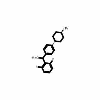 CCC[C@H]1CC[C@H](c2ccc(C(OC)c3c(F)cccc3F)cc2)CC1